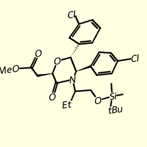 CCC(CO[Si](C)(C)C(C)(C)C)N1C(=O)[C@@H](CC(=O)OC)O[C@H](c2cccc(Cl)c2)[C@H]1c1ccc(Cl)cc1